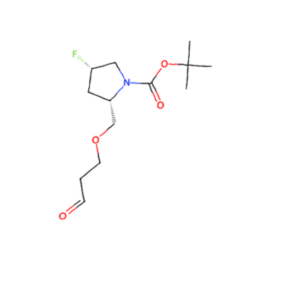 CC(C)(C)OC(=O)N1C[C@@H](F)C[C@H]1COCCC=O